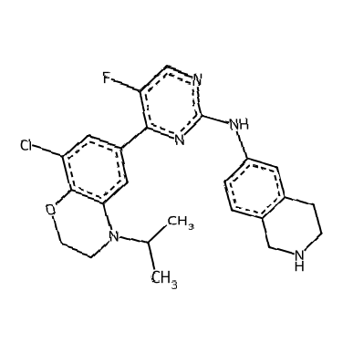 CC(C)N1CCOc2c(Cl)cc(-c3nc(Nc4ccc5c(c4)CCNC5)ncc3F)cc21